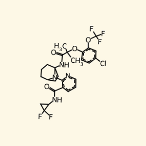 CC(C)(Oc1ccc(Cl)cc1OC(F)(F)F)C(=O)NC12CCCC(CC1)N2c1ncccc1C(=O)NC1CC1(F)F